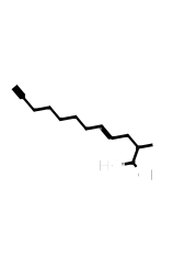 C#CCCCCC/C=C/CC(C)C(O)O